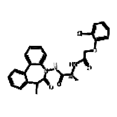 CC1C(=O)N(NC(=O)[C@H](C)NC(=O)COc2ccccc2Cl)c2ccccc2-c2ccccc21